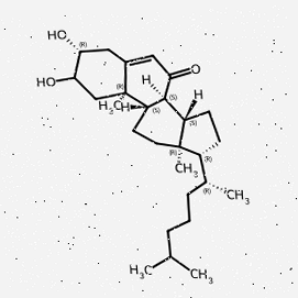 CC(C)CCC[C@@H](C)[C@H]1CC[C@H]2[C@@H]3C(=O)C=C4C[C@@H](O)C(O)C[C@]4(C)[C@H]3CC[C@]12C